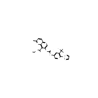 CCOC(C)c1c(NC(=O)Nc2cnc(-n3nccn3)c(C(F)(F)F)c2)cnc2ccc(Cl)nc12